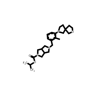 Cc1c(CN2CC3CN(C(=O)OC(C(F)(F)F)C(F)(F)F)CC3C2)cccc1N1CCC2(CCOC2)C1